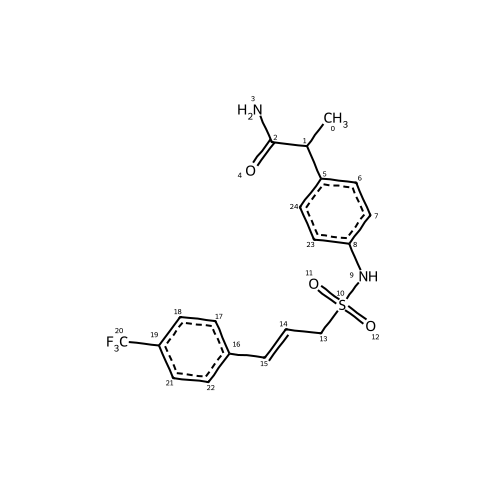 CC(C(N)=O)c1ccc(NS(=O)(=O)CC=Cc2ccc(C(F)(F)F)cc2)cc1